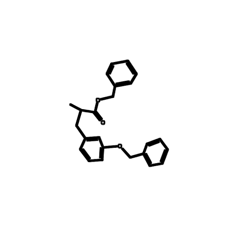 CC(Cc1cccc(OCc2ccccc2)c1)C(=O)OCc1ccccc1